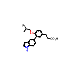 CC(C)C(C)COc1ccc(CCC(=O)O)cc1-c1ccc2[nH]ccc2c1